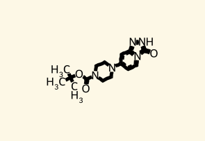 CC(C)(C)OC(=O)N1CCN(c2ccn3c(=O)[nH]nc3c2)CC1